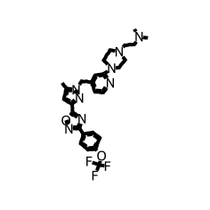 Cc1cc(-c2nc(-c3ccc(OC(F)(F)F)cc3)no2)nn1Cc1ccnc(N2CCN(CCN(C)C)CC2)c1